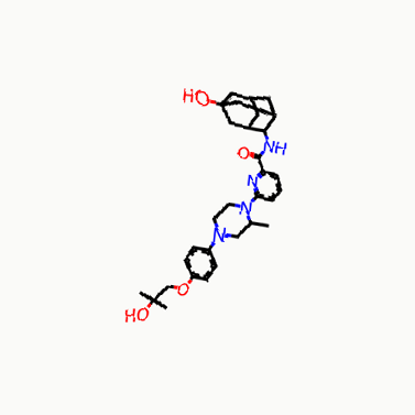 CC1CN(c2ccc(OCC(C)(C)O)cc2)CCN1c1cccc(C(=O)NC2C3CC4CC2CC(O)(C4)C3)n1